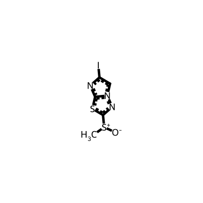 C[S+]([O-])c1nn2cc(I)nc2s1